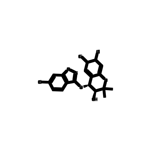 CC1(C)OC2=CC(Cl)C(Cl)C=C2[C@@H](Oc2noc3cc(Cl)ccc23)[C@@H]1O